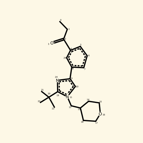 CCC(=O)c1cccc(-c2cn(CC3CCOCC3)c(C(C)(C)C)n2)c1